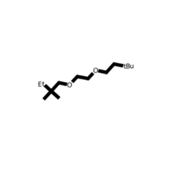 CCC(C)(C)COCCOCCC(C)(C)C